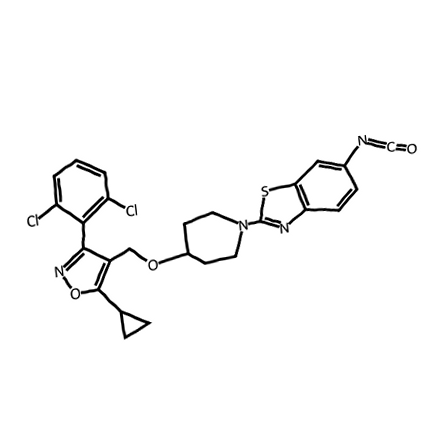 O=C=Nc1ccc2nc(N3CCC(OCc4c(-c5c(Cl)cccc5Cl)noc4C4CC4)CC3)sc2c1